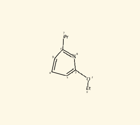 CCOc1cccc(C(C)C)n1